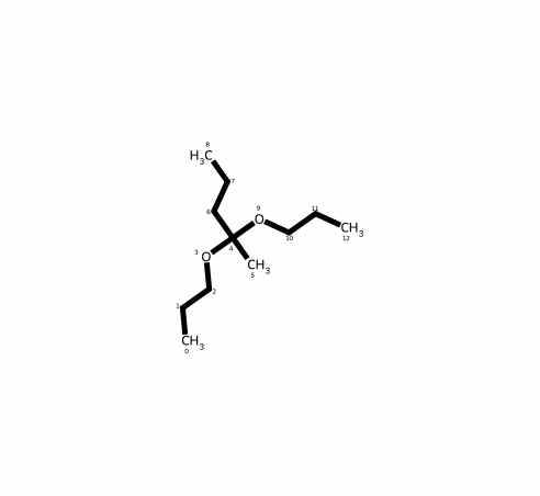 CCCOC(C)(CCC)OCCC